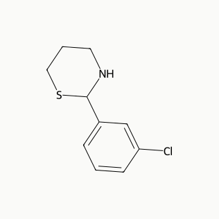 Clc1cccc(C2NCCCS2)c1